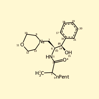 CCCCCC(C)C(=O)N[C@@H](CN1CCOCC1)[C@H](O)c1ccccc1